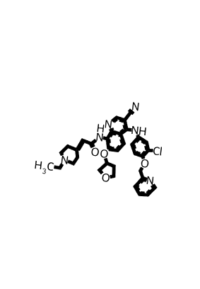 CCN1CCC(=CC(=O)Nc2c(OC3CCOC3)ccc3c(Nc4ccc(OCc5ccccn5)c(Cl)c4)c(C#N)cnc23)CC1